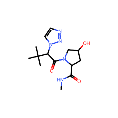 CNC(=O)C1CC(O)CN1C(=O)C(n1ccnn1)C(C)(C)C